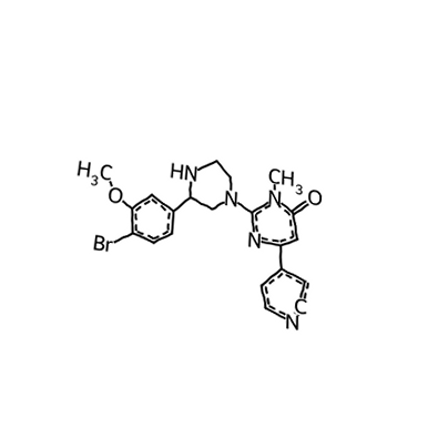 COc1cc(C2CN(c3nc(-c4ccncc4)cc(=O)n3C)CCN2)ccc1Br